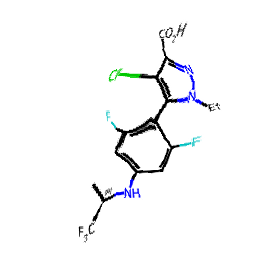 CCn1nc(C(=O)O)c(Cl)c1-c1c(F)cc(N[C@H](C)C(F)(F)F)cc1F